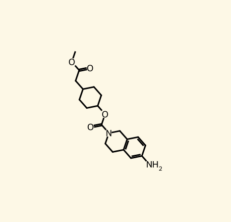 COC(=O)CC1CCC(OC(=O)N2CCc3cc(N)ccc3C2)CC1